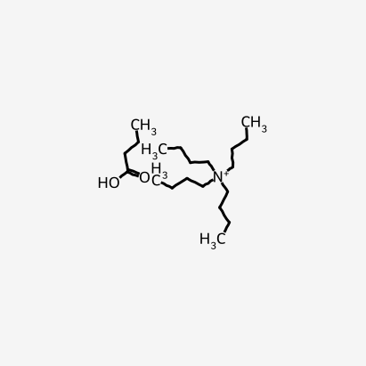 CCCC(=O)O.CCCC[N+](CCCC)(CCCC)CCCC